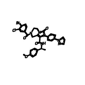 COc1ccc([C@H](C)NC(=O)c2c3n(c(=O)n2-c2ccc(-n4cccn4)cc2)CCN(C(=O)c2ccc(Br)c(Cl)c2)C3)cc1